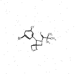 CC(C)(C)C(=S)N1CC2(COC2)C1c1cc(Cl)cc(Br)c1